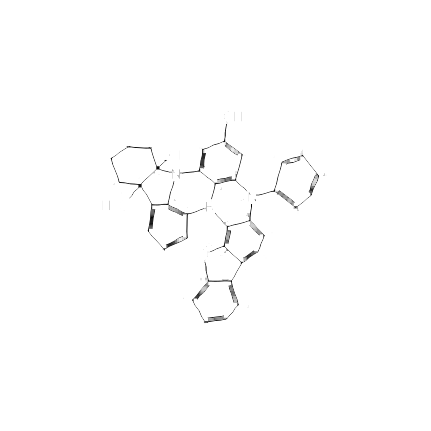 Cc1cc2c3c(c1)N1c4c(cccc4C4(C)CCCCC14C)B3c1c(ccc3c1oc1ccccc13)N2c1ccccc1